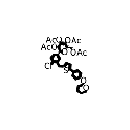 CC(=O)OC[C@H]1O[C@@H](c2ccc(Cl)c(Cc3ccc(-c4ccc(OC5CCCCO5)cc4)s3)c2)[C@H](OC(C)=O)[C@@H](OC(C)=O)[C@@H]1OC(C)=O